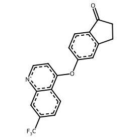 O=C1CCc2cc(Oc3ccnc4cc(C(F)(F)F)ccc34)ccc21